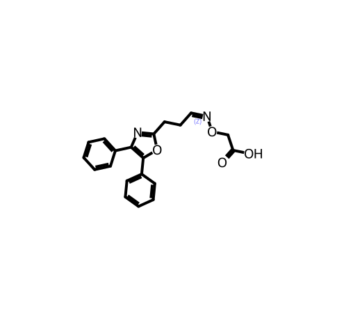 O=C(O)CO/N=C\CCc1nc(-c2ccccc2)c(-c2ccccc2)o1